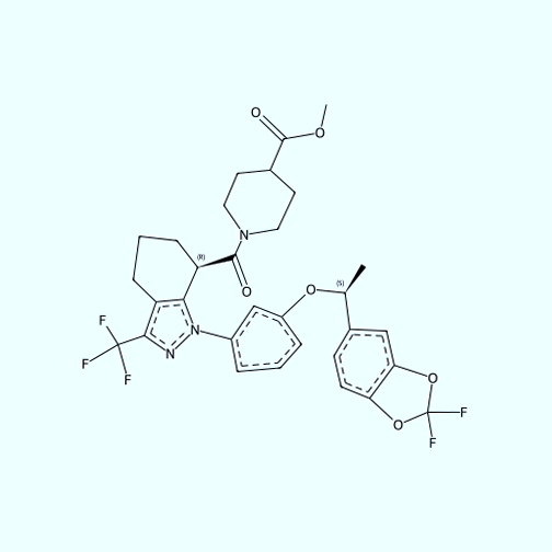 COC(=O)C1CCN(C(=O)[C@@H]2CCCc3c(C(F)(F)F)nn(-c4cccc(O[C@@H](C)c5ccc6c(c5)OC(F)(F)O6)c4)c32)CC1